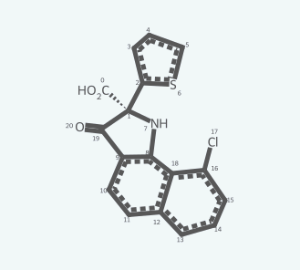 O=C(O)[C@]1(c2cccs2)Nc2c(ccc3cccc(Cl)c23)C1=O